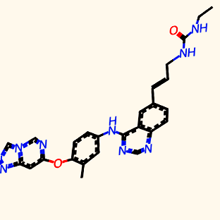 CCNC(=O)NC/C=C/c1ccc2ncnc(Nc3ccc(Oc4cc5nncn5cn4)c(C)c3)c2c1